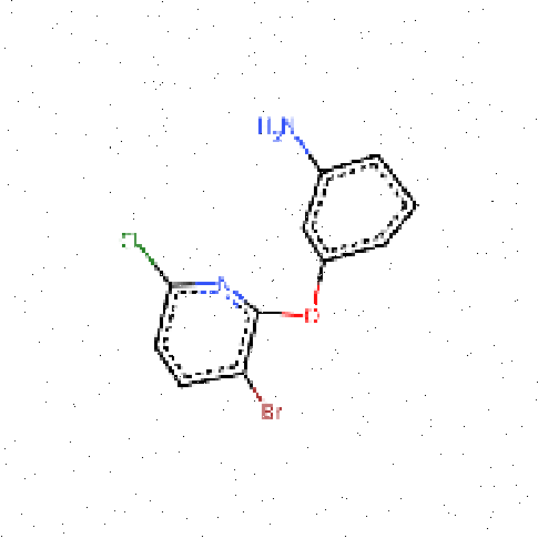 Nc1cccc(Oc2nc(Cl)ccc2Br)c1